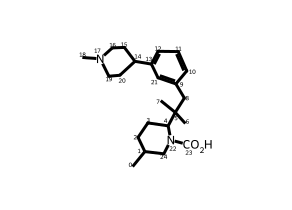 CC1CCC(C(C)(C)Cc2cccc(C3CCN(C)CC3)c2)N(C(=O)O)C1